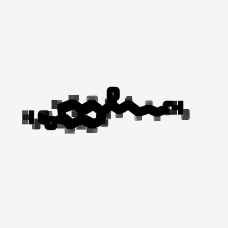 CCCCCCC(=O)c1ccc2cc(OC)ccc2c1